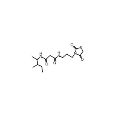 CCC(C)C(C)NC(=O)CC(=O)NCCCN1C(=O)CSC1=O